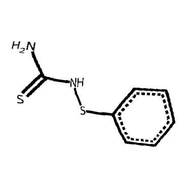 NC(=S)NSc1ccccc1